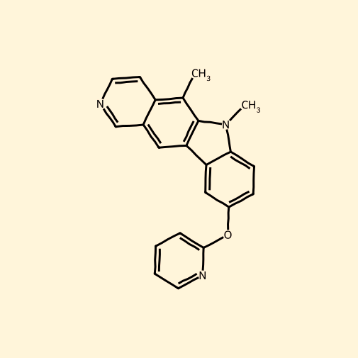 Cc1c2ccncc2cc2c3cc(Oc4ccccn4)ccc3n(C)c12